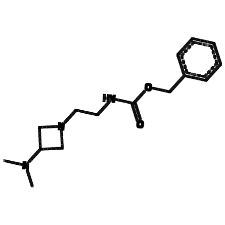 CN(C)C1CN(CCNC(=O)OCc2ccccc2)C1